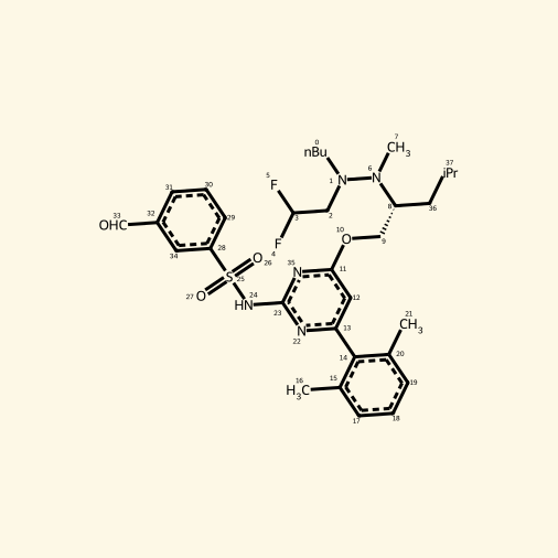 CCCCN(CC(F)F)N(C)[C@@H](COc1cc(-c2c(C)cccc2C)nc(NS(=O)(=O)c2cccc(C=O)c2)n1)CC(C)C